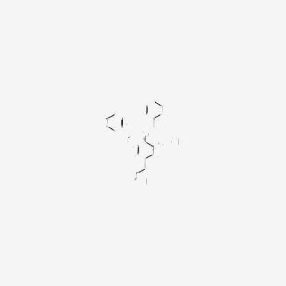 CC=Cc1cc(OCc2ccccc2)c(OCc2ccccc2)c(C(=O)O)c1